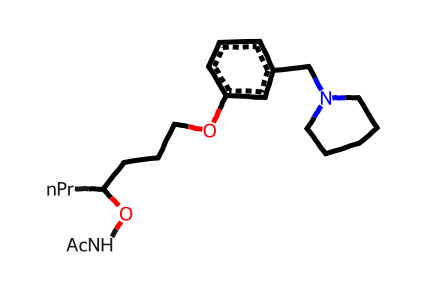 CCCC(CCCOc1cccc(CN2CCCCC2)c1)ONC(C)=O